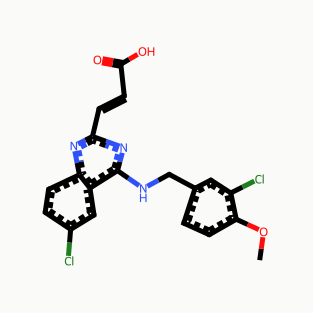 COc1ccc(CNc2nc(C=CC(=O)O)nc3ccc(Cl)cc23)cc1Cl